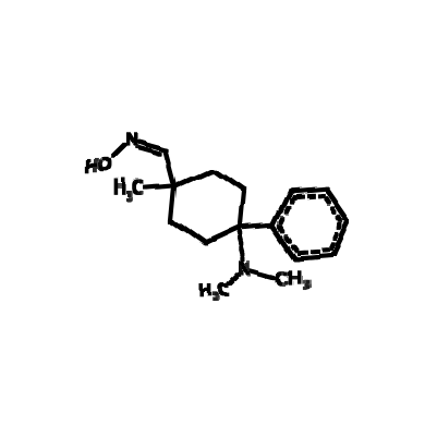 CN(C)C1(c2ccccc2)CCC(C)(/C=N\O)CC1